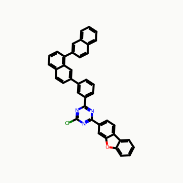 Clc1nc(-c2cccc(-c3ccc4cccc(-c5ccc6ccccc6c5)c4c3)c2)nc(-c2ccc3c(c2)oc2ccccc23)n1